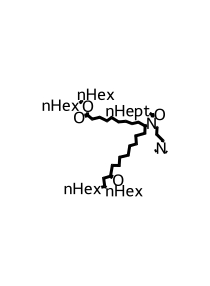 CCCCCCCC(=O)N(CCCN(C)C)C(CCCCCCCCC(=O)CC(CCCCCC)CCCCCC)CCCCCCCCC(=O)OC(CCCCCC)CCCCCC